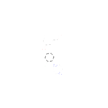 CCC[C@@H](CCCO)Oc1ccc(N2CCNCC2)c(F)c1